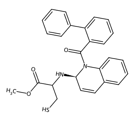 COC(=O)C(CS)N[C@@H]1C=Cc2ccccc2N1C(=O)c1ccccc1-c1ccccc1